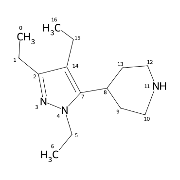 CCc1nn(CC)c(C2CCNCC2)c1CC